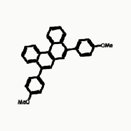 COc1ccc(-c2cc3cc(-c4ccc(OC)cc4)c4ccccc4c3c3ccccc23)cc1